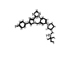 CCC(C)(C)NC[C@@H]1CCN(c2ccc3c(c2)Cn2cc(-c4ccc(F)cc4)cc2-c2ncnn2-3)C1